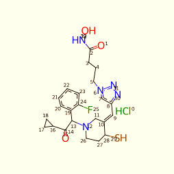 Cl.O=C(CCCn1cc(/C=C2\CN(C(C(=O)C3CC3)c3ccccc3F)CCC2S)nn1)NO